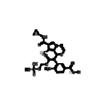 CCNC(=O)c1ccc(C)c(N(C(=O)OCOP(=O)(O)O)c2ncnn3cc(C(=O)NC4CC4)c(C)c23)c1